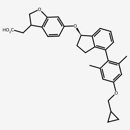 Cc1cc(OCC2CC2)cc(C)c1-c1cccc2c1CC[C@H]2Oc1ccc2c(c1)OCC2CC(=O)O